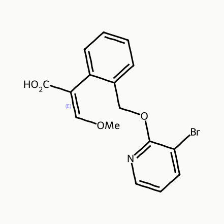 CO/C=C(/C(=O)O)c1ccccc1COc1ncccc1Br